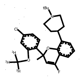 [2H]C([2H])([2H])Oc1cc(Cl)ccc1C1(C)C=C(F)c2cccc(C3CCN(C(C)(C)C)CC3)c2O1